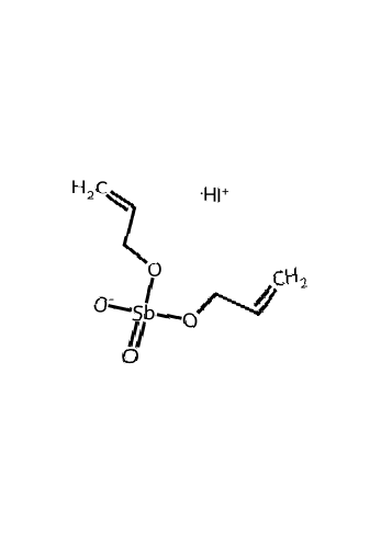 C=CC[O][Sb](=[O])([O-])[O]CC=C.[IH+]